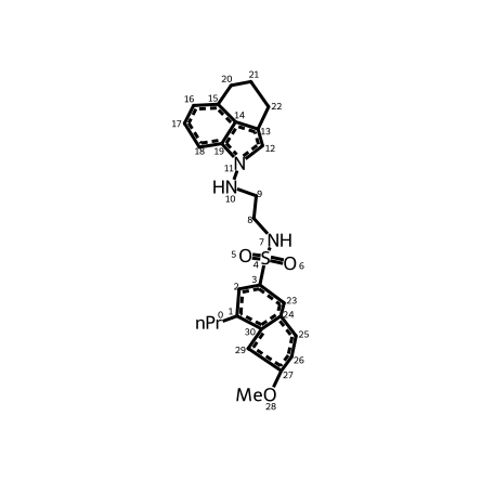 CCCc1cc(S(=O)(=O)NCCNn2cc3c4c(cccc42)CCC3)cc2ccc(OC)cc12